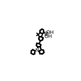 CC1(C)c2cc(-c3ccc4c(c3)c3ccccc3n4-c3ccccc3)ccc2-c2c(B(O)O)cccc21